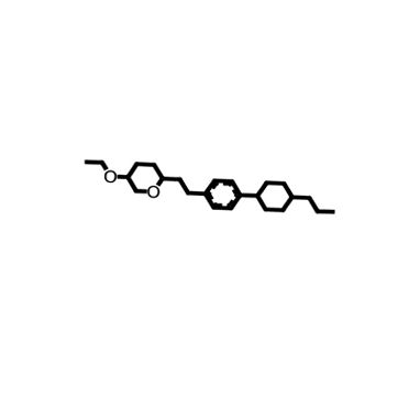 CCCC1CCC(c2ccc(CCC3CCC(OCC)CO3)cc2)CC1